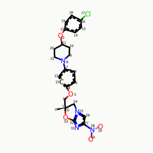 C[C@@]1(COc2ccc(N3CCC(Oc4ccc(Cl)cc4)CC3)cc2)Cn2cc([N+](=O)[O-])nc2O1